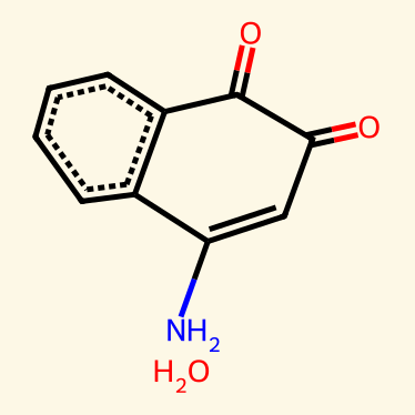 NC1=CC(=O)C(=O)c2ccccc21.O